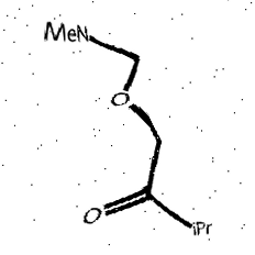 CNCOCC(=O)C(C)C